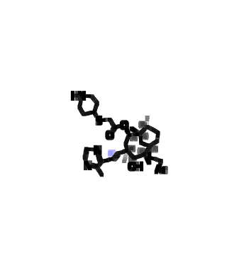 CC(=O)CC[C@]12CC[C@@H](C)[C@](C)(C1)[C@H](OC(=O)CSC1CCNCC1)C[C@](C)(/C=C/c1nccnc1C)[C@@H](O)[C@@H]2C